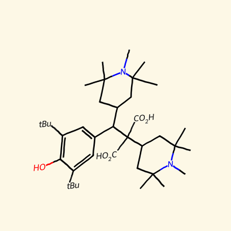 CN1C(C)(C)CC(C(c2cc(C(C)(C)C)c(O)c(C(C)(C)C)c2)C(C(=O)O)(C(=O)O)C2CC(C)(C)N(C)C(C)(C)C2)CC1(C)C